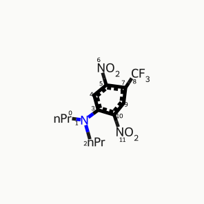 CCCN(CCC)c1cc([N+](=O)[O-])c(C(F)(F)F)cc1[N+](=O)[O-]